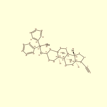 C#CC1CC[C@H]2[C@@H]3CCC4CC(O[Si](c5ccccc5)(c5ccccc5)C(C)(C)C)CC[C@]4(C)[C@@H]3CC[C@]12C